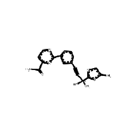 Cc1cnc([C@](C)(O)C#Cc2cccc(-c3nccc(C(N)=O)n3)c2)o1